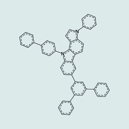 c1ccc(-c2ccc(-n3c4ccc(-c5cc(-c6ccccc6)cc(-c6ccccc6)c5)cc4c4ccc5c(ccn5-c5ccccc5)c43)cc2)cc1